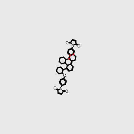 O=C1C=CC(=O)N1c1ccc(OC2CCCCC2C2=CC=CC(=C3CCCCC3)C2C2CCCCC2Oc2ccc(N3C(=O)C=CC3=O)cc2)cc1